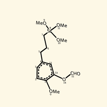 COc1ccc(CCC[Si](OC)(OC)OC)cc1OC=O